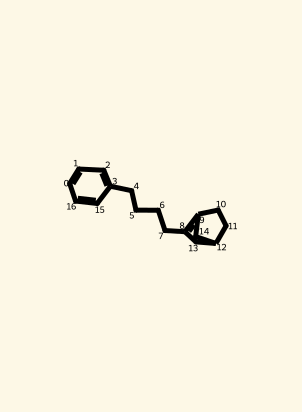 c1ccc(CCCCC2=C3CCC(C2)C3)cc1